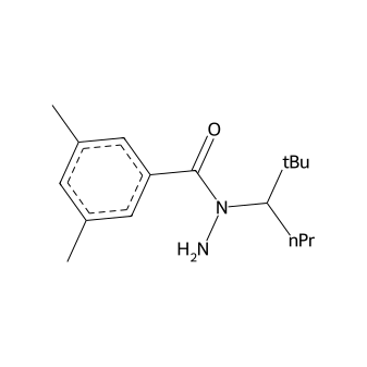 CCCC(N(N)C(=O)c1cc(C)cc(C)c1)C(C)(C)C